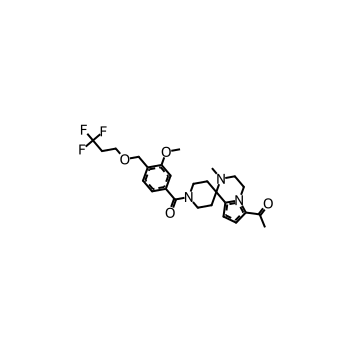 COc1cc(C(=O)N2CCC3(CC2)c2ccc(C(C)=O)n2CCN3C)ccc1COCCC(F)(F)F